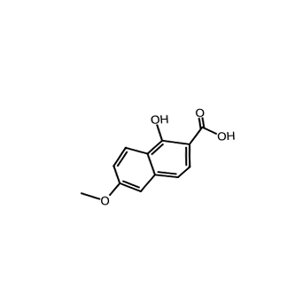 COc1ccc2c(O)c(C(=O)O)ccc2c1